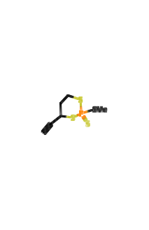 C#CC1CCSP(=S)(SC)S1